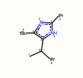 CC(C)c1nc(C(C)(C)C)c(C(C)C(C)C)[nH]1